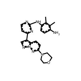 Cc1c(N)ccc(Nc2nccc(-c3cnn4nc(N5CCOCC5)ccc34)n2)c1C